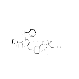 CCOC(=O)C1=C(CN2CCN3C(=O)N(C4(CC(=O)O)CC4)CC3C2)NC(c2nccs2)=N[C@H]1c1cccc(F)c1Cl